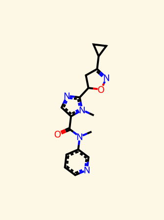 CN(C(=O)c1cnc(C2CC(C3CC3)=NO2)n1C)c1cccnc1